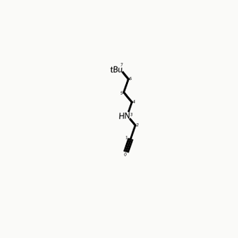 C#CCNCCCC(C)(C)C